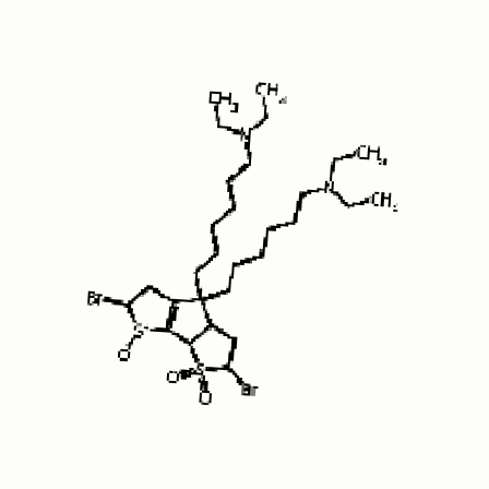 CCN(CC)CCCCCCC1(CCCCCCN(CC)CC)C2=C(C3C1CC(Br)S3(=O)=O)[S+]([O-])C(Br)C2